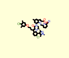 Cc1cc(N2C[C@@H](C)n3c(c(CCCOc4cc(C)c(Cl)c(C)c4)c4ccc(Cl)c(-c5c(C)nn(C)c5C)c43)C2=O)c2c(c1)cc(C(=O)O)n2Cc1cccc(C#N)n1